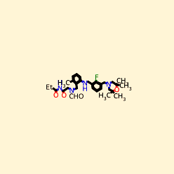 CCC(=O)NC(=O)CN(C=O)Cc1c(C)cccc1NCc1cccc(CN2CC(C)(C)OC(C)(C)C2)c1F